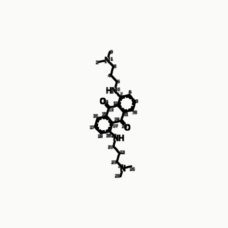 CN(C)CCCNc1cccc2c1C(=O)c1cccc(NCCCN(C)C)c1C2=O